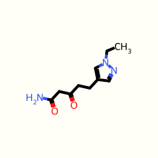 CCn1cc(CCC(=O)CC(N)=O)cn1